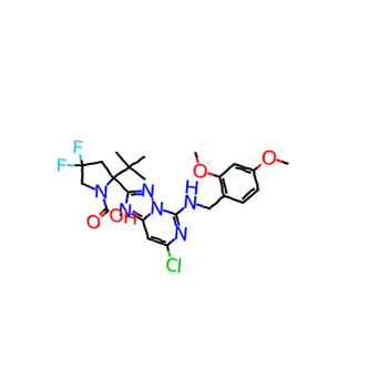 COc1ccc(CNc2nc(Cl)cc3nc(C4(C(C)(C)C)CC(F)(F)CN4C(=O)O)nn23)c(OC)c1